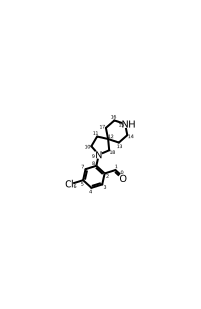 O=Cc1ccc(Cl)cc1N1CCC2(CCNCC2)C1